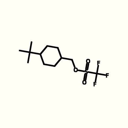 CC(C)(C)C1CCC(COS(=O)(=O)C(F)(F)F)CC1